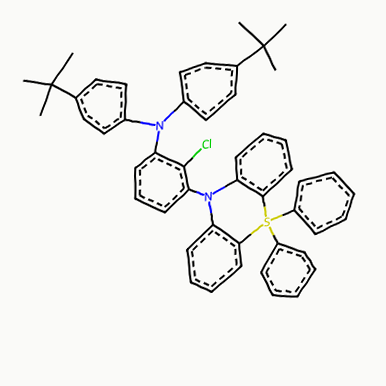 CC(C)(C)c1ccc(N(c2ccc(C(C)(C)C)cc2)c2cccc(N3c4ccccc4S(c4ccccc4)(c4ccccc4)c4ccccc43)c2Cl)cc1